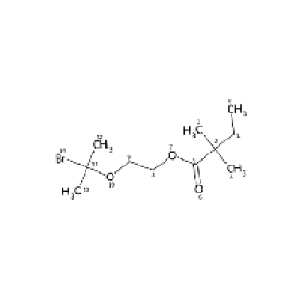 CCC(C)(C)C(=O)OCCOC(C)(C)Br